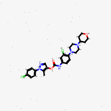 Cc1c(OC(=O)Nc2ccc(N3CCN(C4CCOCC4)CC3)c(Cl)c2)cnn1-c1ccc(Cl)cc1